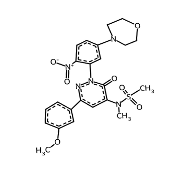 COc1cccc(-c2cc(N(C)S(C)(=O)=O)c(=O)n(-c3cc(N4CCOCC4)ccc3[N+](=O)[O-])n2)c1